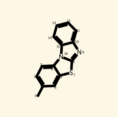 Cc1ccc2c(c1)sc1nc3ccccc3n12